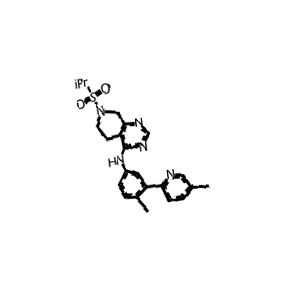 Cc1ccc(-c2cc(Nc3ncnc4c3CCN(S(=O)(=O)C(C)C)C4)ccc2C)nc1